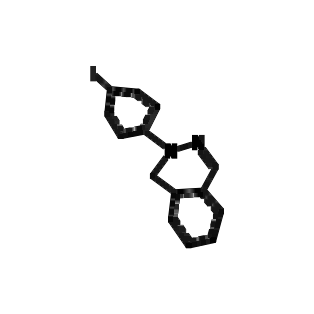 Ic1ccc(N2Cc3ccccc3C=N2)cc1